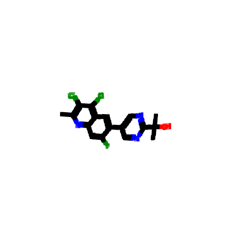 Cc1nc2cc(F)c(-c3cnc(C(C)(C)O)nc3)cc2c(Cl)c1Cl